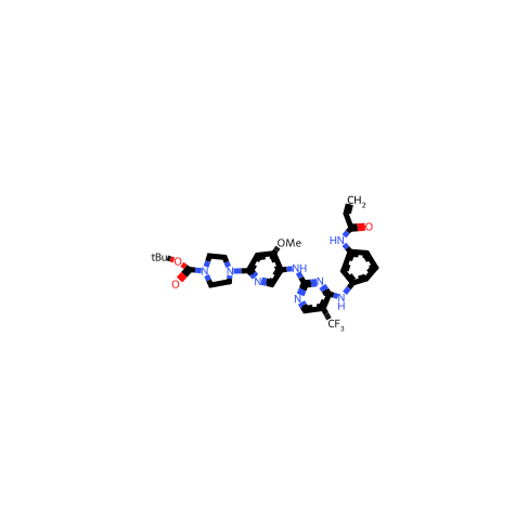 C=CC(=O)Nc1cccc(Nc2nc(Nc3cnc(N4CCN(C(=O)OC(C)(C)C)CC4)cc3OC)ncc2C(F)(F)F)c1